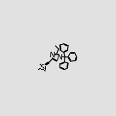 CCc1nc(C#C[Si](C)(C)C)cn1C(c1ccccc1)(c1ccccc1)c1ccccc1